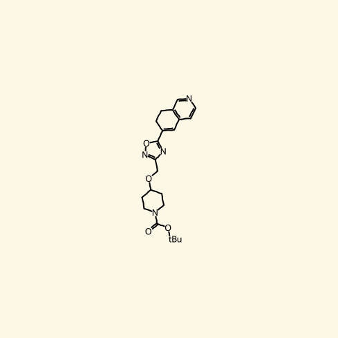 CC(C)(C)OC(=O)N1CCC(OCc2noc(C3=Cc4ccncc4CC3)n2)CC1